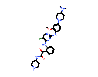 COc1cc(N2CCC(N(C)C)CC2)ccc1Nc1ncc(Cl)c(Nc2ccccc2C(=O)C(=O)NC2CCNCC2)n1